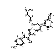 COc1ccc(NC(=O)C2=NC3C(OCCN(C)C)=CC(c4ccnc(N)n4)=CC3S2)cc1